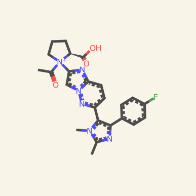 CC(=O)[N+]1(c2cn3nc(-c4c(-c5ccc(F)cc5)nc(C)n4C)ccc3n2)CCC[C@H]1C(=O)O